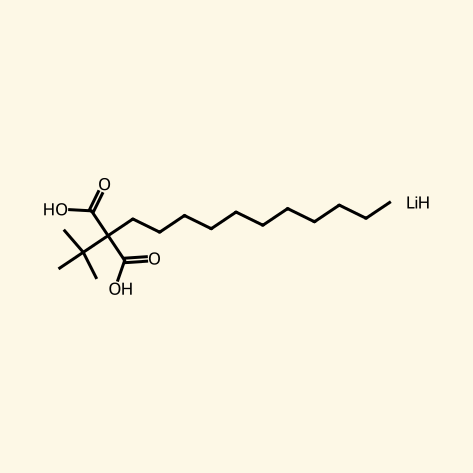 CCCCCCCCCCCC(C(=O)O)(C(=O)O)C(C)(C)C.[LiH]